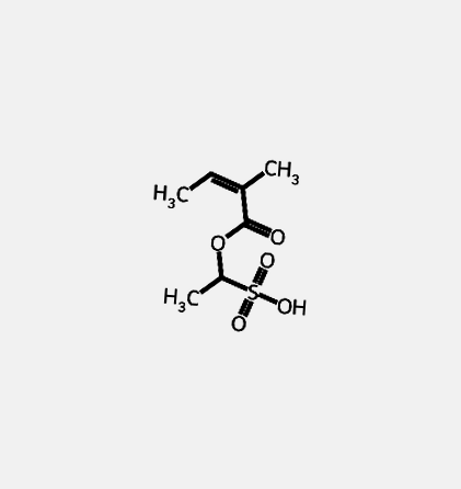 CC=C(C)C(=O)OC(C)S(=O)(=O)O